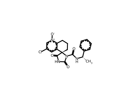 C[C@H](NC(=O)N1C(=O)NC(=O)[C@@]12CCCc1c2cc(Cl)c[n+]1[O-])c1ccccc1